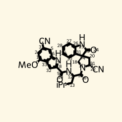 COc1cc(C#N)cc2[nH]c(C(=O)NC(CC(C)C)C(=O)N3C[C@]4(C[C@H]3C#N)C(=O)Nc3ccccc34)cc12